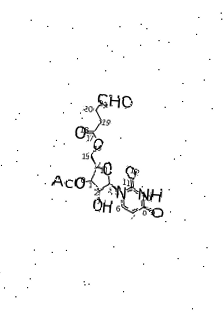 CC(=O)OC1C(O)[C@H](n2ccc(=O)[nH]c2=O)O[C@@H]1COC(=O)CCC=O